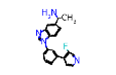 C[C@@H](N)c1ccc2c(c1)ncn2-c1cccc(-c2ccncc2F)c1